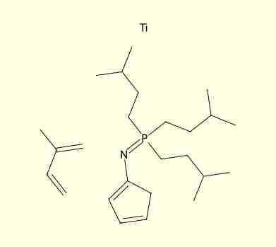 C=CC(=C)C.CC(C)CCP(CCC(C)C)(CCC(C)C)=NC1=CC=CC1.[Ti]